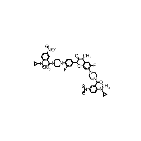 CC(C(=O)C(C)c1ccc(N2CCN(C(=O)c3cc([N+](=O)[O-])ccc3N(C)C3CC3)CC2)c(F)c1)c1ccc(N2CCN(C(=O)c3cc([N+](=O)[O-])ccc3N(C)C3CC3)CC2)c(F)c1